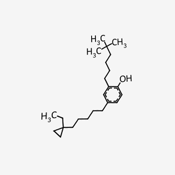 CCC1(CCCCCc2ccc(O)c(CCCCC(C)(C)C)c2)CC1